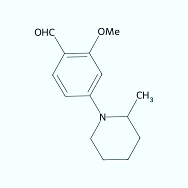 COc1cc(N2CCCCC2C)ccc1C=O